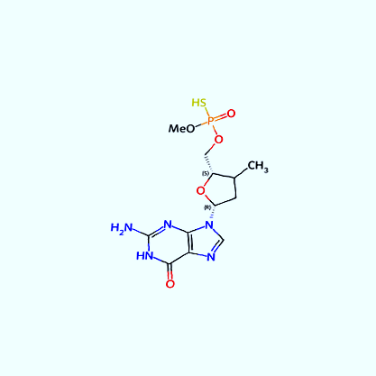 COP(=O)(S)OC[C@H]1O[C@@H](n2cnc3c(=O)[nH]c(N)nc32)CC1C